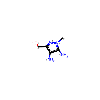 Cn1nc(CO)c(N)c1N